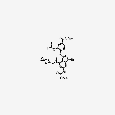 COC(=O)Nc1nc(NCC2CC3(CC3)C2)c2c(n1)c(Br)nn2Cc1ccc(C(=O)OC)cc1OC(F)F